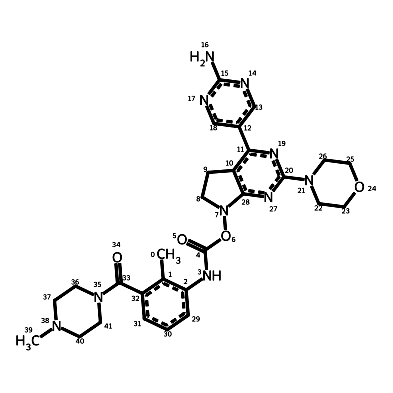 Cc1c(NC(=O)ON2CCc3c(-c4cnc(N)nc4)nc(N4CCOCC4)nc32)cccc1C(=O)N1CCN(C)CC1